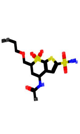 CCC(=O)NC1CC(COCCOC)S(=O)(=O)c2sc(S(N)(=O)=O)cc21